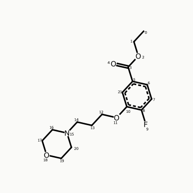 CCOC(=O)c1ccc(F)c(OCCCN2CCOCC2)c1